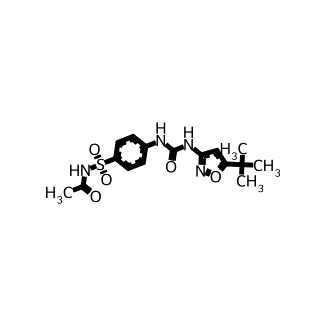 CC(=O)NS(=O)(=O)c1ccc(NC(=O)Nc2cc(C(C)(C)C)on2)cc1